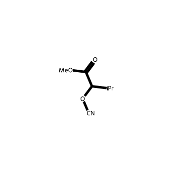 COC(=O)C(OC#N)C(C)C